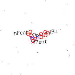 CCCCCOC(=O)Oc1ccc(C[C@H](N)C(=O)O[C@@H](C)COC(=O)OCC(C)(C)C)cc1OC(=O)OCCCCC